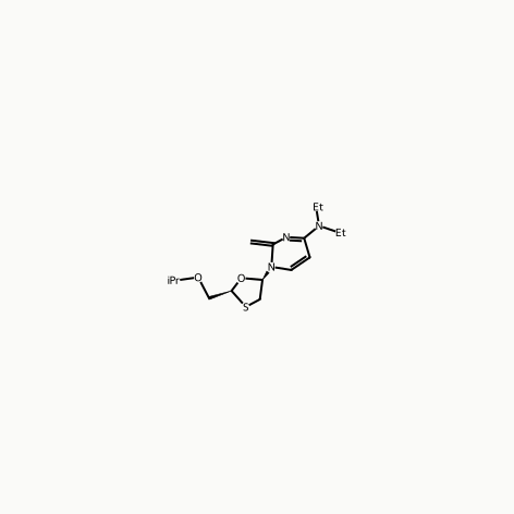 C=C1N=C(N(CC)CC)C=CN1[C@H]1CS[C@@H](COC(C)C)O1